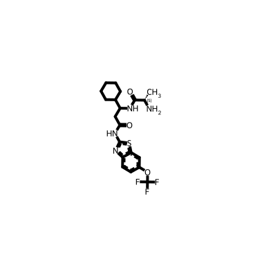 C[C@H](N)C(=O)NC(CC(=O)Nc1nc2ccc(OC(F)(F)F)cc2s1)C1CCCCC1